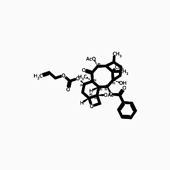 C=CCOC(=O)O[C@H]1C[C@H]2OC[C@@]2(OC(C)=O)[C@H]2[C@H](OC(=O)c3ccccc3)[C@]3(O)CCC(C)C([C@@H](OC(C)=O)C(=O)[C@]12C)C3(C)C